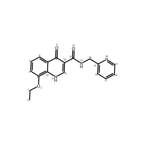 CCOc1cccc2c(=O)c(C(=O)NCc3ccccn3)c[nH]c12